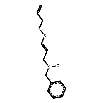 C=CCSSC=CC[S+]([O-])Cc1ccccc1